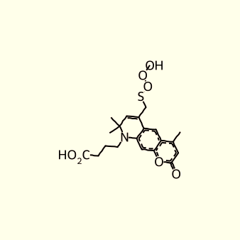 Cc1cc(=O)oc2cc3c(cc12)C(CSOOO)=CC(C)(C)N3CCCC(=O)O